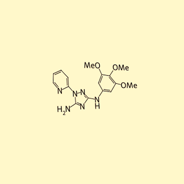 COc1cc(Nc2nc(N)n(-c3ccccn3)n2)cc(OC)c1OC